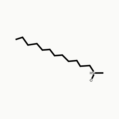 CCCCCCCCCCCC[SiH](C)[O]